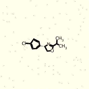 CC(C)C1=N[C@@H](c2ccc(Cl)cc2)CO1